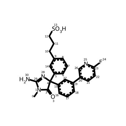 CN1C(=O)C(c2cccc(CCCS(=O)(=O)O)c2)(c2cccc(-c3ccc(F)nc3)c2)N=C1N